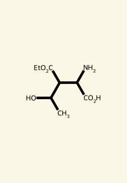 CCOC(=O)C(C(C)O)C(N)C(=O)O